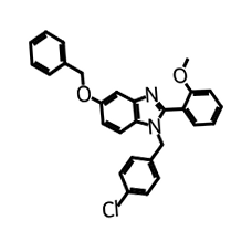 COc1ccccc1-c1nc2cc(OCc3ccccc3)ccc2n1Cc1ccc(Cl)cc1